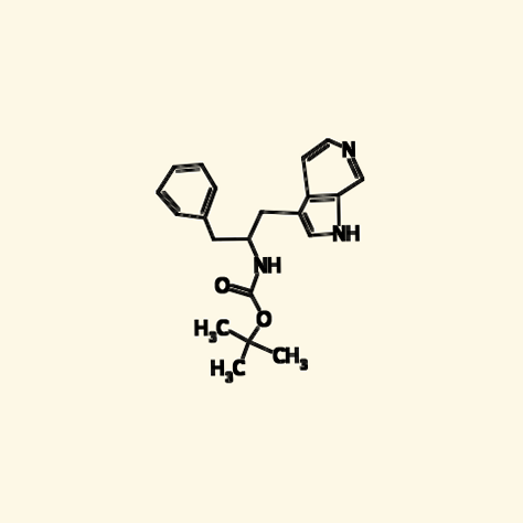 CC(C)(C)OC(=O)NC(Cc1ccccc1)Cc1c[nH]c2cnccc12